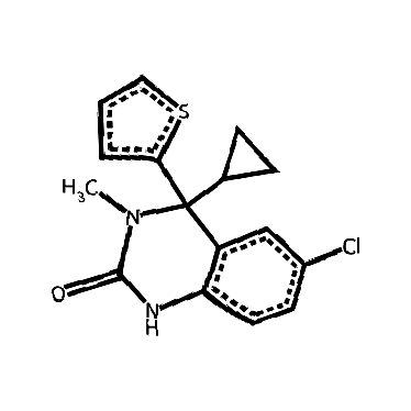 CN1C(=O)Nc2ccc(Cl)cc2C1(c1cccs1)C1CC1